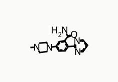 CN1CCN(c2ccc(-c3ncccn3)c(C(N)=O)c2)CC1